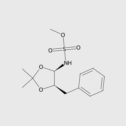 COS(=O)(=O)N[C@@H]1OC(C)(C)O[C@@H]1Cc1ccccc1